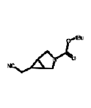 CC(C)(C)OC(=O)N1CC2C(CC#N)C2C1